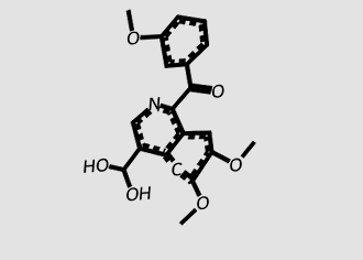 COc1cccc(C(=O)c2ncc(C(O)O)c3cc(OC)c(OC)cc23)c1